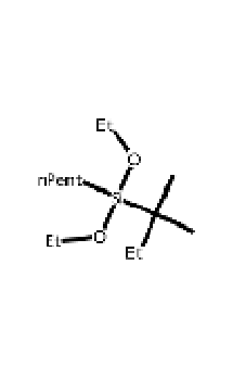 CCCCC[Si](OCC)(OCC)C(C)(C)CC